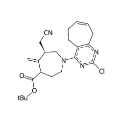 C=C1C(C(=O)OC(C)(C)C)CCN(c2nc(Cl)nc3c2CCC=CC3)C[C@@H]1CC#N